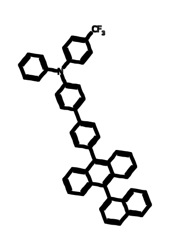 FC(F)(F)c1ccc(N(c2ccccc2)c2ccc(-c3ccc(-c4c5ccccc5c(-c5cccc6ccccc56)c5ccccc45)cc3)cc2)cc1